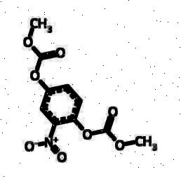 COC(=O)Oc1ccc(OC(=O)OC)c([N+](=O)[O-])c1